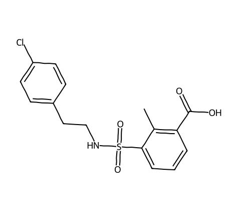 Cc1c(C(=O)O)cccc1S(=O)(=O)NCCc1ccc(Cl)cc1